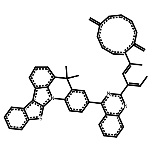 C=c1ccccc(=C)c(/C(C)=C/C(=C\C)c2nc(-c3ccc4c(c3)C(C)(C)c3cccc5c6c7ccccc7sc6n-4c35)c3ccccc3n2)ccc1